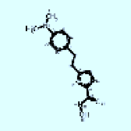 CN(C)c1ccc(CCc2ccc(C(=O)NO)s2)cc1